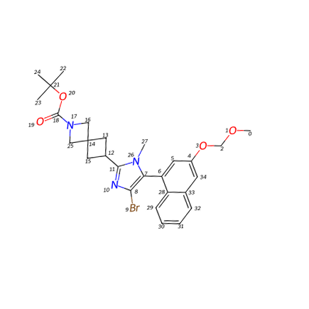 COCOc1cc(-c2c(Br)nc(C3CC4(C3)CN(C(=O)OC(C)(C)C)C4)n2C)c2ccccc2c1